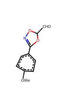 COc1ccc(C2=NOC(C=O)O2)cc1